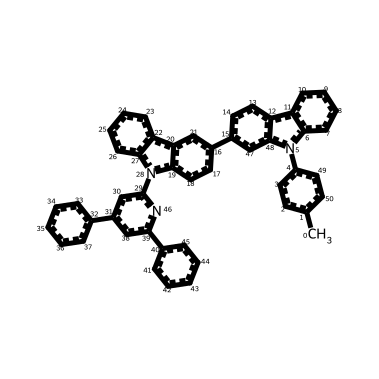 Cc1ccc(-n2c3ccccc3c3ccc(-c4ccc5c(c4)c4ccccc4n5-c4cc(-c5ccccc5)cc(-c5ccccc5)n4)cc32)cc1